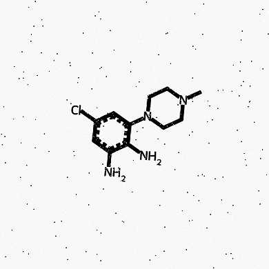 CN1CCN(c2cc(Cl)cc(N)c2N)CC1